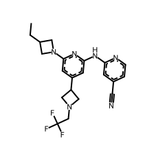 CCC1CN(c2cc(C3CN(CC(F)(F)F)C3)cc(Nc3cc(C#N)ccn3)n2)C1